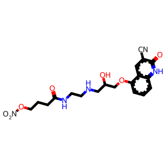 N#Cc1cc2c(OCC(O)CNCCNC(=O)CCCO[N+](=O)[O-])cccc2[nH]c1=O